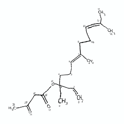 C=CC(C)(CC/C=C(\C)CCC=C(C)C)OC(=O)CC(C)=O